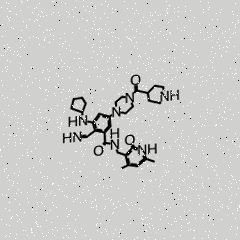 Cc1cc(C)c(CNC(=O)c2cc(N3CCN(C(=O)C4CCNCC4)CC3)cc(NC3CCCC3)c2C=N)c(=O)[nH]1